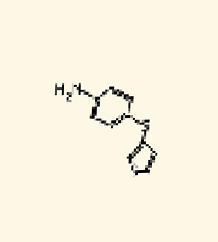 Nc1ccc(Sc2ccsc2)cc1